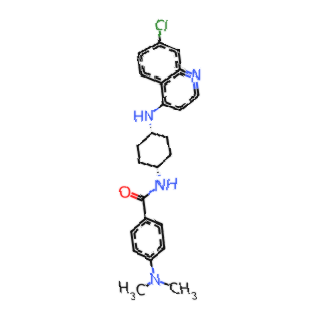 CN(C)c1ccc(C(=O)N[C@H]2CC[C@@H](Nc3ccnc4cc(Cl)ccc34)CC2)cc1